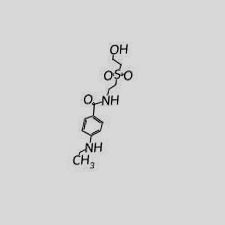 CCNc1ccc(C(=O)NCCS(=O)(=O)CCO)cc1